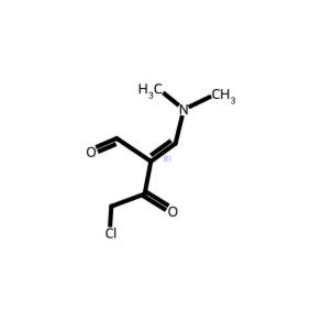 CN(C)/C=C(\C=O)C(=O)CCl